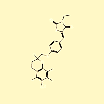 CCN1C(=O)S/C(=C\c2ccc(OCC3(C)CCc4c(C)c(O)c(C)c(C)c4O3)cc2)C1=O